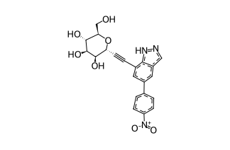 O=[N+]([O-])c1ccc(-c2cc(C#C[C@H]3O[C@H](CO)[C@@H](O)[C@H](O)[C@@H]3O)c3[nH]ncc3c2)cc1